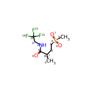 C[C@H](CCS(C)(=O)=O)C(=O)NCC(F)(F)F